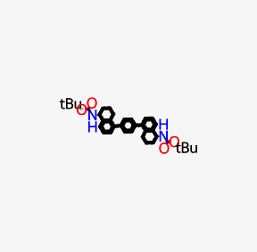 CC(C)(C)OC(=O)N[C@@H]1CCCc2c(-c3ccc(-c4cccc5c4CCC[C@H]5NC(=O)OC(C)(C)C)cc3)cccc21